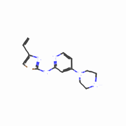 C=Cc1csc(Nc2cc(N3CCNCC3)ccn2)n1